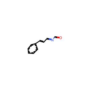 O=C/N=C/C=C/c1ccccc1